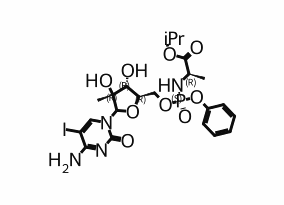 CC(C)OC(=O)[C@@H](C)N[P@](=O)(OC[C@H]1OC(n2cc(I)c(N)nc2=O)[C@](C)(O)[C@@H]1O)Oc1ccccc1